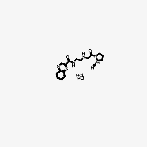 Cl.Cl.N#C[C@@H]1CCCN1C(=O)CNCCNC(=O)c1cnc2ccccc2n1